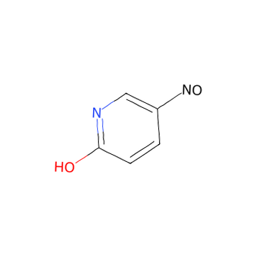 O=Nc1ccc(O)nc1